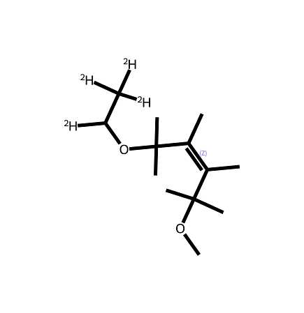 [2H]C(OC(C)(C)/C(C)=C(/C)C(C)(C)OC)C([2H])([2H])[2H]